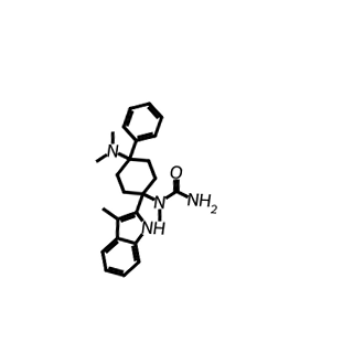 Cc1c(C2(N(C)C(N)=O)CCC(c3ccccc3)(N(C)C)CC2)[nH]c2ccccc12